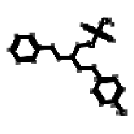 CS(=O)(=O)OCC(CCc1ccccc1)CCc1ccc(Cl)cc1